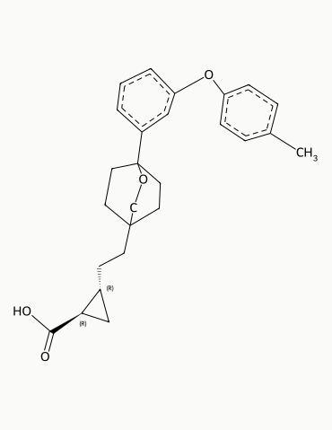 Cc1ccc(Oc2cccc(C34CCC(CC[C@@H]5C[C@H]5C(=O)O)(CC3)CO4)c2)cc1